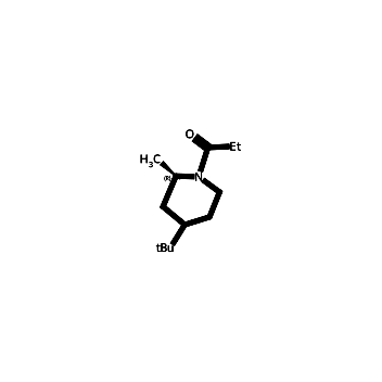 CCC(=O)N1CCC(C(C)(C)C)C[C@H]1C